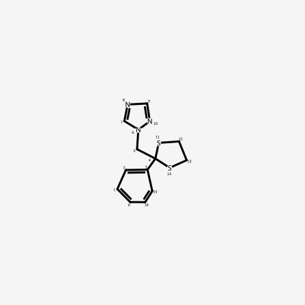 c1ccc(C2(Cn3cncn3)SCCS2)cc1